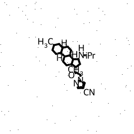 CC(C)NC1C[C@H](C(=O)Cn2cc(C#N)cn2)[C@@]2(C)CCC3[C@@H](CC[C@@H]4C[C@@H](C)CC[C@H]34)C12